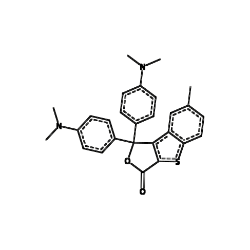 Cc1ccc2sc3c(c2c1)C(c1ccc(N(C)C)cc1)(c1ccc(N(C)C)cc1)OC3=O